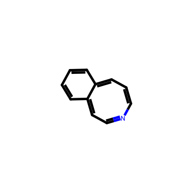 C1=CN=CC=c2ccccc2=C1